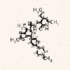 CCCc1cc(C)[nH]c(=O)c1CNC(=O)c1cc(-c2ccc(N3CCN(C)CC3)nc2)c2sc(C)nc2c1C